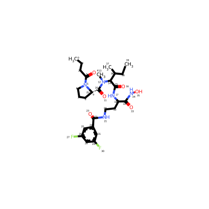 CCCC(=O)N1CCC[C@H]1C(=O)N(C)C(C(=O)NC(CCNC(=O)c1cc(F)cc(F)c1)C(=O)NO)C(C)CC